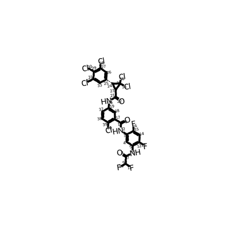 O=C(Nc1cc(NC(=O)C(F)F)c(F)cc1F)c1cc(NC(=O)C2[C@H](c3cc(Cl)c(Cl)c(Cl)c3)C2(Cl)Cl)ccc1Cl